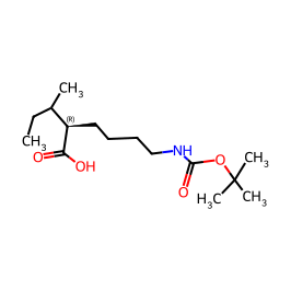 CCC(C)[C@@H](CCCCNC(=O)OC(C)(C)C)C(=O)O